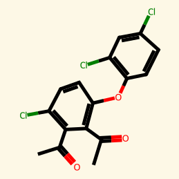 CC(=O)c1c(Cl)ccc(Oc2ccc(Cl)cc2Cl)c1C(C)=O